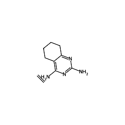 C=C.Nc1nc(N)c2c(n1)CCCC2